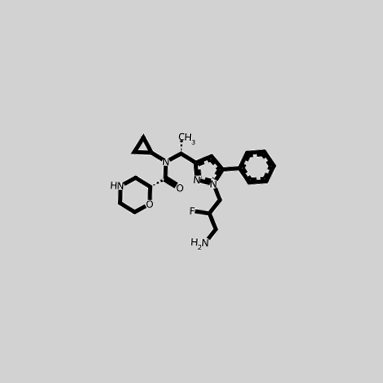 C[C@H](c1cc(-c2ccccc2)n(CC(F)CN)n1)N(C(=O)[C@H]1CNCCO1)C1CC1